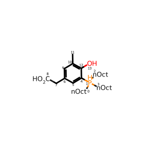 CCCCCCCC[PH](CCCCCCCC)(CCCCCCCC)c1cc(CC(=O)O)cc(C)c1O